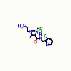 Cc1c(C(=O)NCc2ncccc2F)ncn1CCN.Cl.Cl